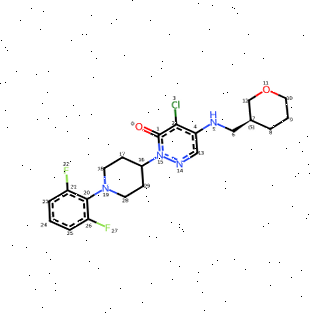 O=c1c(Cl)c(NC[C@@H]2CCCOC2)cnn1C1CCN(c2c(F)cccc2F)CC1